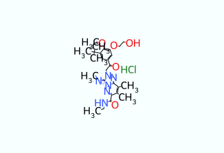 CCNC(=O)c1nn2/c(=N/C)n(CC(=O)c3cc(OCCO)c(OC)c(C(C)(C)C)c3)nc2c(C)c1C.Cl